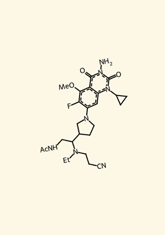 CCN(CCC#N)C(CNC(C)=O)C1CCN(c2cc3c(c(OC)c2F)c(=O)n(N)c(=O)n3C2CC2)C1